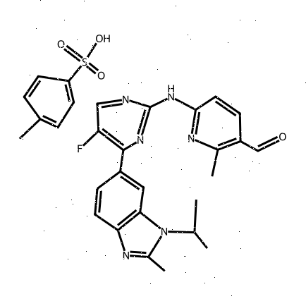 Cc1ccc(S(=O)(=O)O)cc1.Cc1nc(Nc2ncc(F)c(-c3ccc4nc(C)n(C(C)C)c4c3)n2)ccc1C=O